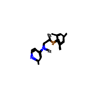 CCC(CN(CC)c1ccnc(C)c1)Sc1c(C)cc(C)cc1C